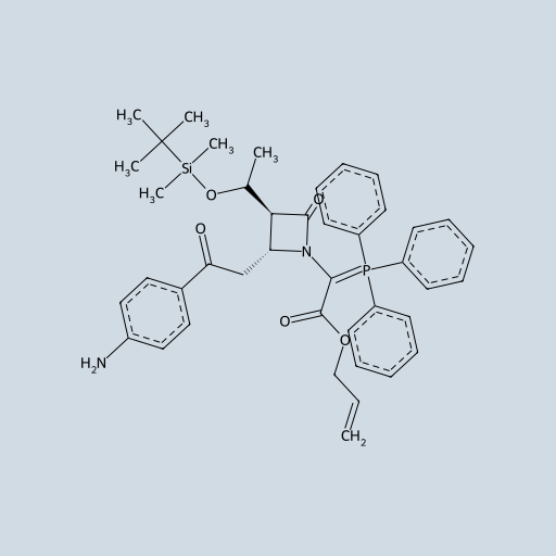 C=CCOC(=O)C(N1C(=O)[C@H](C(C)O[Si](C)(C)C(C)(C)C)[C@H]1CC(=O)c1ccc(N)cc1)=P(c1ccccc1)(c1ccccc1)c1ccccc1